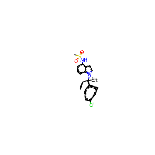 C=CC(CC)(c1ccc(Cl)cc1)n1ccc2c(NS(C)(=O)=O)cccc21